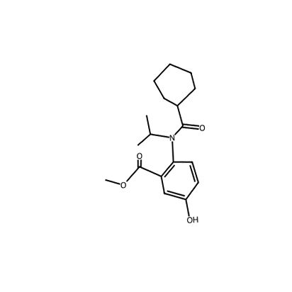 COC(=O)c1cc(O)ccc1N(C(=O)C1CCCCC1)C(C)C